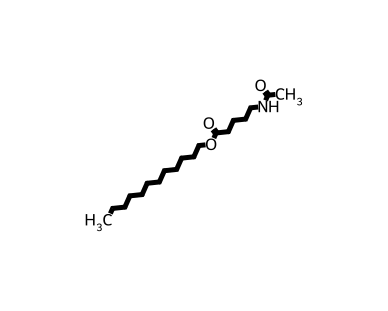 CCCCCCCCCCCCOC(=O)CCCCNC(C)=O